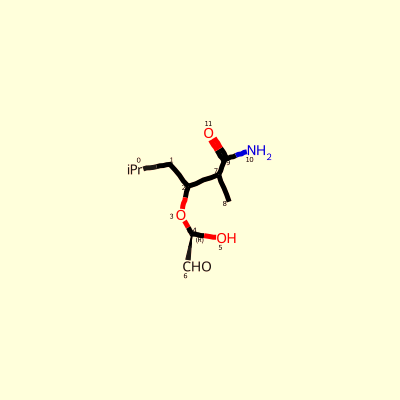 CC(C)CC(O[C@@H](O)C=O)C(C)C(N)=O